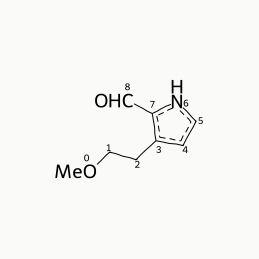 COCCc1cc[nH]c1C=O